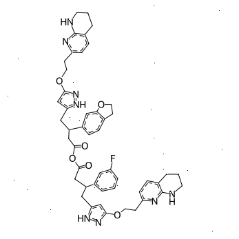 O=C(CC(Cc1cc(OCCc2ccc3c(n2)NCCC3)n[nH]1)c1cccc(F)c1)OC(=O)CC(Cc1cc(OCCc2ccc3c(n2)NCCC3)n[nH]1)c1ccc2c(c1)OCC2